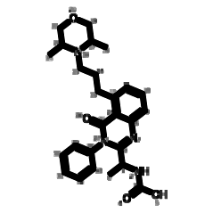 CC(NC(=O)O)c1nc2cccc(CCCN3C(C)COCC3C)c2c(=O)n1-c1ccccc1